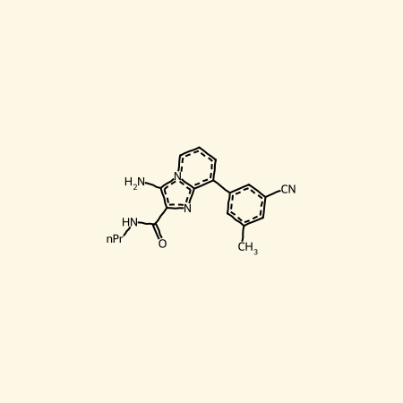 CCCNC(=O)c1nc2c(-c3cc(C)cc(C#N)c3)cccn2c1N